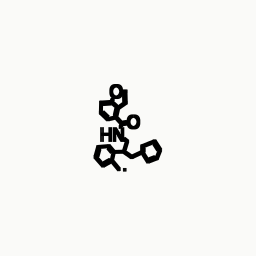 [CH2]c1ccccc1C(CNC(=O)c1cccc2occc12)Cc1ccccc1